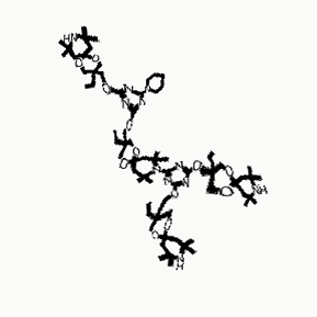 CCC1(COc2nc(OCC3(CC)COC4(CC(C)(C)N(c5nc(OCC6(CC)COC7(CC(C)(C)NC(C)(C)C7)OC6)nc(OCC6(CC)COC7(CC(C)(C)NC(C)(C)C7)OC6)n5)C(C)(C)C4)OC3)nc(N3CCCCC3)n2)COC2(CC(C)(C)NC(C)(C)C2)OC1